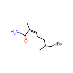 CC(=CCCC(C)CC(C)(C)C)C(N)=O